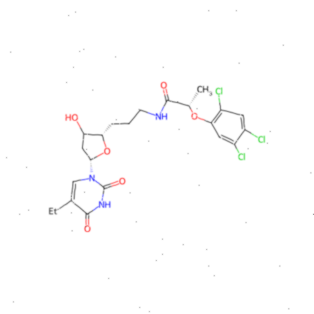 CCc1cn([C@@H]2CC(O)[C@H](CCCNC(=O)[C@H](C)Oc3cc(Cl)c(Cl)cc3Cl)O2)c(=O)[nH]c1=O